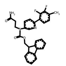 Cc1ccc(-c2ccc(N(CCC(N)=O)C(=O)OCC3c4ccccc4-c4ccccc43)cn2)c(F)c1F